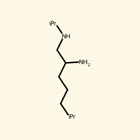 CC(C)CCCC(N)CNC(C)C